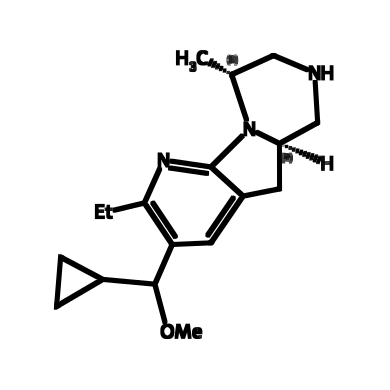 CCc1nc2c(cc1C(OC)C1CC1)C[C@@H]1CNC[C@@H](C)N21